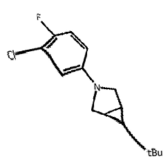 CC(C)(C)C1C2CN(c3ccc(F)c(Cl)c3)CC21